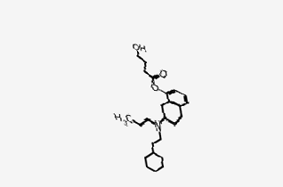 CCCN(CCC1CCCCC1)C1CCc2cccc(OC(=O)CCCO)c2C1